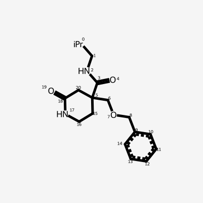 CC(C)CNC(=O)C1(COCc2ccccc2)CCNC(=O)C1